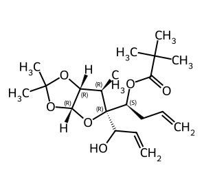 C=CC[C@H](OC(=O)C(C)(C)C)[C@@]1(C(O)C=C)O[C@@H]2OC(C)(C)O[C@@H]2[C@H]1C